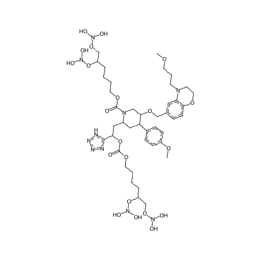 COCCCN1CCOc2ccc(COC3CN(C(=O)OCCCCC(CON(O)O)ON(O)O)C(CC(OC(=O)OCCCCC(CON(O)O)ON(O)O)c4nnn[nH]4)CC3c3ccc(OC)cc3)cc21